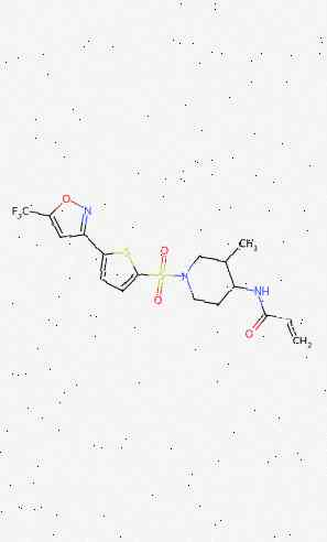 C=CC(=O)NC1CCN(S(=O)(=O)c2ccc(-c3cc(C(F)(F)F)on3)s2)CC1C